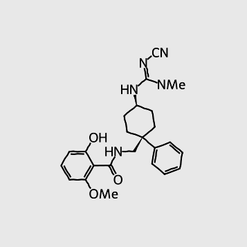 CN/C(=N\C#N)N[C@H]1CC[C@](CNC(=O)c2c(O)cccc2OC)(c2ccccc2)CC1